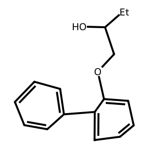 CCC(O)COc1ccccc1-c1ccccc1